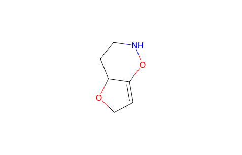 C1=C2ONCCC2OC1